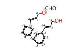 O=COCC=Cc1ccccc1.OCC=Cc1ccccc1